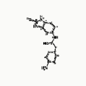 Nc1ccc(CC(O)Nc2ccc3[nH]c(=O)[nH]c3c2)cc1